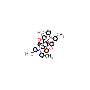 Cc1cccc(N(c2cccc(C)c2)c2cc3c(o2)C2(c4ccccc4Oc4ccccc42)c2cc(N(c4cccc(C)c4)c4cccc(C)c4)oc2C32c3ccccc3Oc3ccccc32)c1